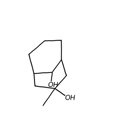 CC1(O)CC2CCCC(C1)C2O